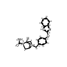 NC(=O)N1CC2C[C@H]1CN2Cc1ccc(Oc2nc3ccccc3s2)cc1